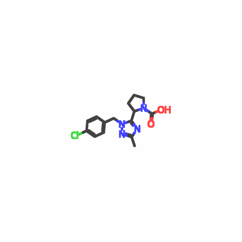 Cc1nc(C2CCCN2C(=O)O)n(Cc2ccc(Cl)cc2)n1